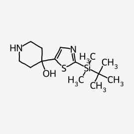 CC(C)(C)[Si](C)(C)c1ncc(C2(O)CCNCC2)s1